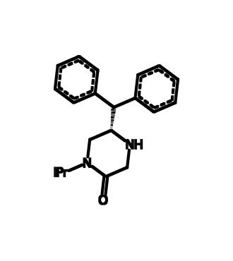 CC(C)N1C[C@H](C(c2ccccc2)c2ccccc2)NCC1=O